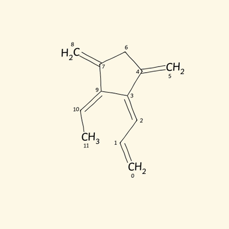 C=C/C=C1/C(=C)CC(=C)/C1=C/C